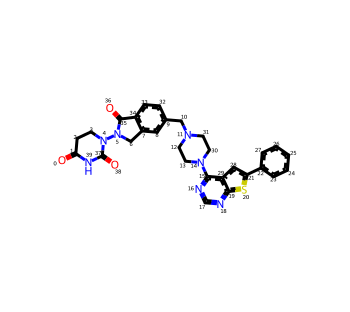 O=C1CCN(N2Cc3cc(CN4CCN(c5ncnc6sc(-c7ccccc7)cc56)CC4)ccc3C2=O)C(=O)N1